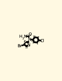 NC(=O)N(c1ccc(Cl)cc1)c1ncc(Br)s1